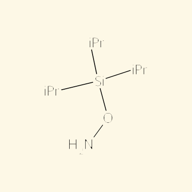 CC(C)[Si](ON)(C(C)C)C(C)C